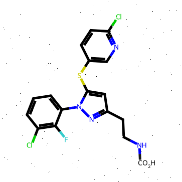 O=C(O)NCCc1cc(Sc2ccc(Cl)nc2)n(-c2cccc(Cl)c2F)n1